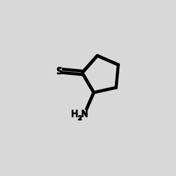 NC1CCCC1=S